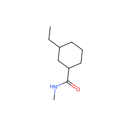 CCC1CCCC(C(=O)NC)C1